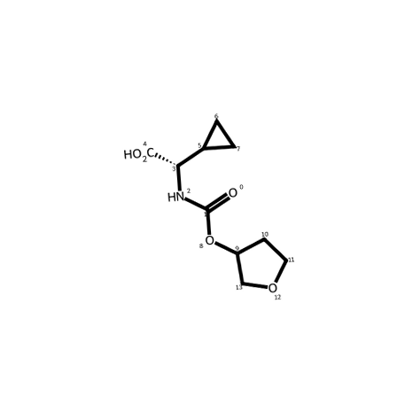 O=C(N[C@H](C(=O)O)C1CC1)OC1CCOC1